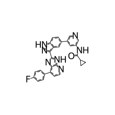 O=C(Nc1cncc(-c2ccc3[nH]nc(-c4nc5c(-c6ccc(F)cc6)ccnc5[nH]4)c3c2)c1)C1CC1